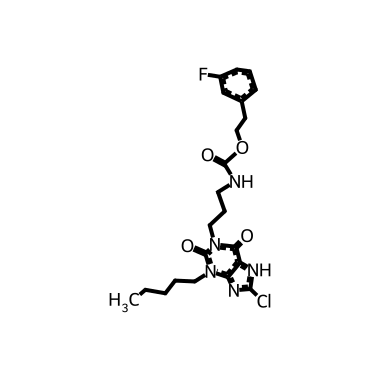 CCCCCn1c(=O)n(CCCNC(=O)OCCc2cccc(F)c2)c(=O)c2[nH]c(Cl)nc21